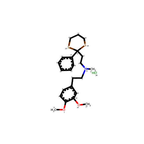 COc1ccc(CCN(C)CCC2(c3ccccc3)SCCCS2)cc1OC.Cl